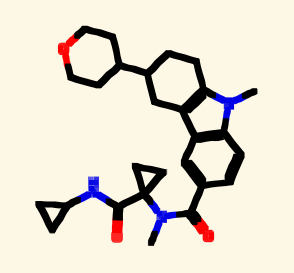 CN(C(=O)c1ccc2c(c1)c1c(n2C)CCC(C2CCOCC2)C1)C1(C(=O)NC2CC2)CC1